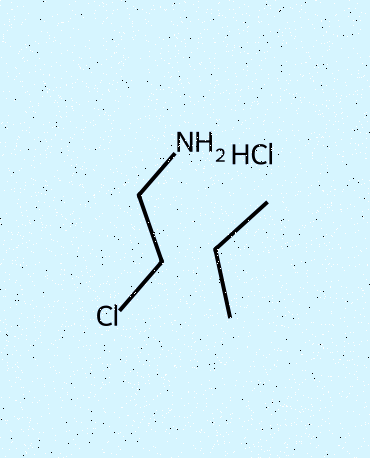 CCC.Cl.NCCCl